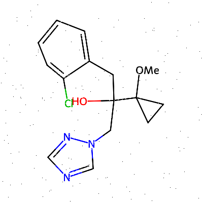 COC1(C(O)(Cc2ccccc2Cl)Cn2cncn2)CC1